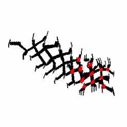 ICC(I)C(I)(CI)C(I)(CI)C(I)(CI)C(I)(CI)C(I)(CI)C(I)(CI)C(I)(CI)C(I)(CI)C(I)(CI)C(I)(CI)C(I)(CI)C(I)(CI)C(I)(CI)C(I)(CI)C(I)(CI)C(I)(CI)C(I)(CI)C(I)(CI)C(I)(CI)C(I)(CI)C(I)(CI)C(I)(CI)C(I)(CI)C(I)CI